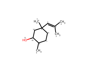 CC(C)=CC1(C)CCC(C)C(O)C1